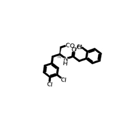 O=C(O)C[C@H](Cc1ccc(Cl)c(Cl)c1)NC(=O)Cc1ccccc1Cl